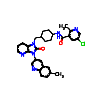 Cc1ccc2ncc(-n3c(=O)n(CC4CCC(NC(=O)c5cc(Cl)cnc5C)CC4)c4cccnc43)cc2c1